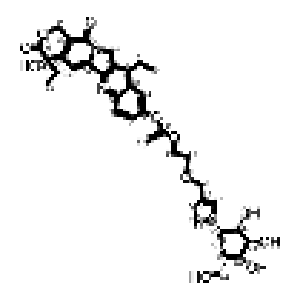 CCc1c2c(nc3ccc(OC(=O)OCCOCc4cn([C@H]5O[C@@H](CO)[C@H](O)[C@@H](O)[C@@H]5O)nn4)cc13)-c1cc3c(c(=O)n1C2)COC(=O)[C@]3(O)CC